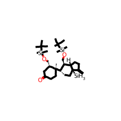 C=C1CC[C@H]2[C@H](CO[Si](C)(C)C(C)(C)C)[C@@H]([C@@]3(C)CCC(=O)C[C@@H]3CO[Si](C)(C)C(C)(C)C)CC[C@@]12[SiH3]